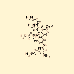 CC(C)Oc1ccc(-c2cc(CC(CCN)NCCCN)cc(CC(CCN)NCCCN)c2)cc1CC(CCN)NCCCN